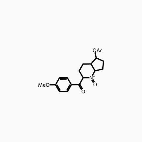 COc1ccc(C(=O)C2CCC3C(OC(C)=O)CCC3[N+]2=O)cc1